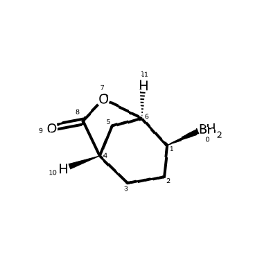 B[C@H]1CC[C@H]2C[C@H]1OC2=O